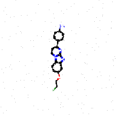 Nc1ccc(-c2ccn3c(n2)nc2cc(OCCF)ccc23)cc1